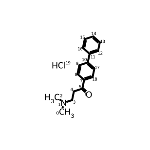 CN(C)CCC(=O)c1ccc(-c2ccccc2)cc1.Cl